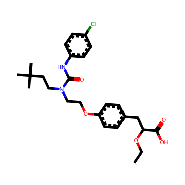 CCOC(Cc1ccc(OCCN(CCC(C)(C)C)C(=O)Nc2ccc(Cl)cc2)cc1)C(=O)O